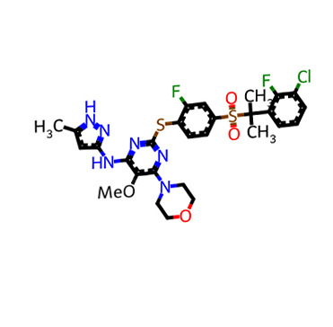 COc1c(Nc2cc(C)[nH]n2)nc(Sc2ccc(S(=O)(=O)C(C)(C)c3cccc(Cl)c3F)cc2F)nc1N1CCOCC1